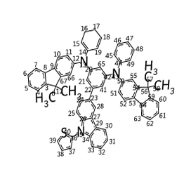 CC1(C)c2ccccc2-c2ccc(N(C3=CCCC=C3)c3cc(-c4ccc5c(c4)c4ccccc4n5-c4cccs4)cc(N(c4ccccc4)c4ccc5c(c4)C(C)(C)c4ccccc4-5)c3)cc21